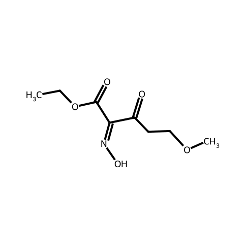 CCOC(=O)C(=NO)C(=O)CCOC